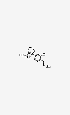 CC(C)(C)CCc1ccc(C2(N)CCCC[C@H]2CO)cc1Cl